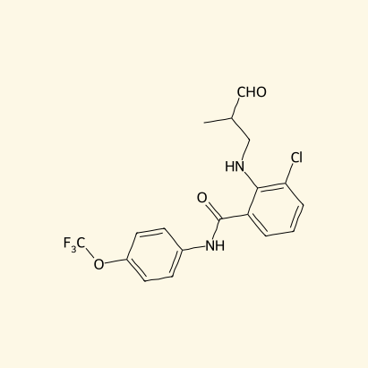 CC(C=O)CNc1c(Cl)cccc1C(=O)Nc1ccc(OC(F)(F)F)cc1